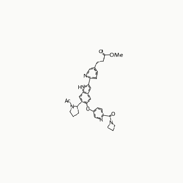 COC(=O)CCc1ccc(-c2cc3cc(Oc4ccc(C(=O)N5CCC5)nc4)c(C4CCCN4C(C)=O)cc3[nH]2)nc1